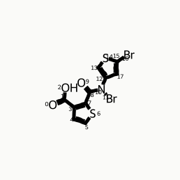 O=C(O)c1ccsc1C(=O)N(Br)c1csc(Br)c1